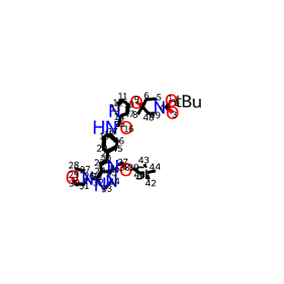 CC(C)(C)OC(=O)N1CCC(C)(Oc2ccnc(C(=O)Nc3ccc(-c4cc5c(N6CCOCC6)ncnc5n4COCC[Si](C)(C)C)cc3)c2)CC1